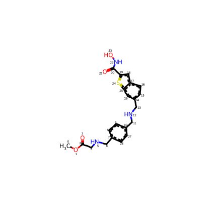 COC(=O)CNCc1ccc(CNCc2ccc3cc(C(=O)NO)sc3c2)cc1